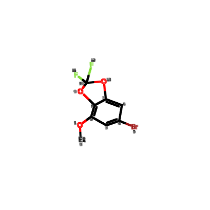 CCOc1cc(Br)cc2c1OC(F)(F)O2